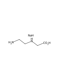 NCCNCC(=O)O.[NaH]